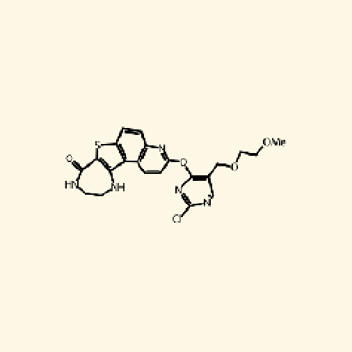 COCCOCc1cnc(Cl)nc1Oc1ccc2c(ccc3sc4c(c32)NCCNC4=O)n1